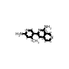 Cc1cc(N)ncc1-c1cc2ccncc2c(N)n1